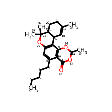 CCCCCc1cc2c(c3c1C(=O)OC(C)O3)C1C=C(C)CCC1C(C)(C)O2